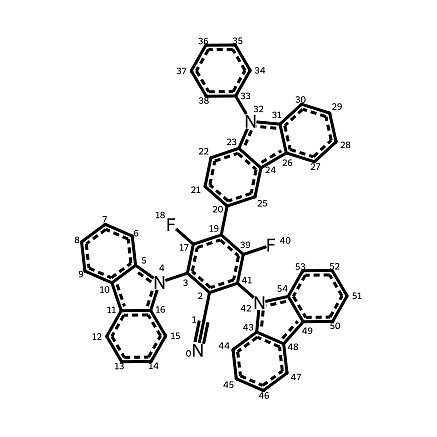 N#Cc1c(-n2c3ccccc3c3ccccc32)c(F)c(-c2ccc3c(c2)c2ccccc2n3-c2ccccc2)c(F)c1-n1c2ccccc2c2ccccc21